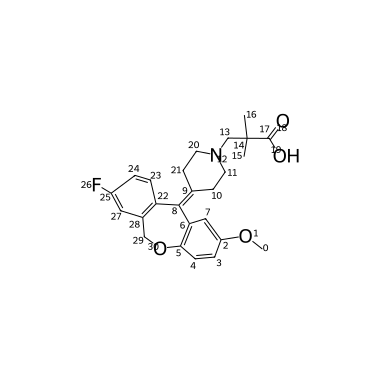 COc1ccc2c(c1)C(=C1CCN(CC(C)(C)C(=O)O)CC1)c1ccc(F)cc1CO2